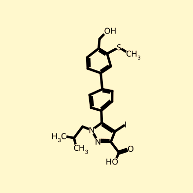 CSc1cc(-c2ccc(-c3c(I)c(C(=O)O)nn3CC(C)C)cc2)ccc1CO